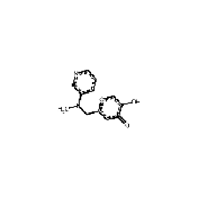 CN(Cc1cc(=O)c(O)co1)c1cccnc1